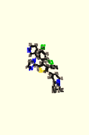 CC(=O)Nc1cc(-c2sc(-c3nccn3Cc3cccnc3)c(-c3ccc(Cl)cc3Cl)c2C#N)ccn1